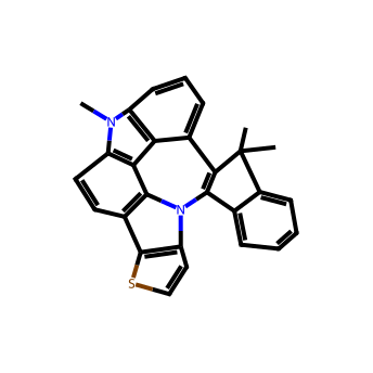 Cn1c2cccc3c4c(n5c6ccsc6c6ccc1c(c32)c65)-c1ccccc1C4(C)C